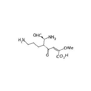 CO/C(=C/C(=O)C(CCCN)[C@H](N)C=O)C(=O)O